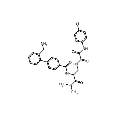 CN(C)C(=O)C(CNC(=O)C(=O)Nc1ccc(Cl)cn1)NC(=O)c1ccc(-c2ccccc2CN)cc1